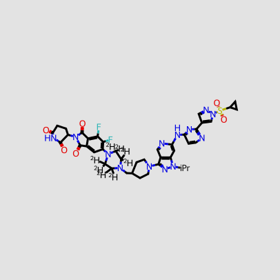 [2H]C1([2H])N(CC2CCN(c3nn(C(C)C)c4cc(Nc5ccnc(-c6cnn(S(=O)(=O)C7CC7)c6)n5)ncc34)CC2)C([2H])([2H])C([2H])([2H])N(c2cc3c(c(F)c2F)C(=O)N(C2CCC(=O)NC2=O)C3=O)C1([2H])[2H]